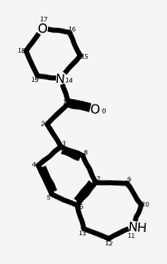 O=C(Cc1ccc2c(c1)CCNCC2)N1CCOCC1